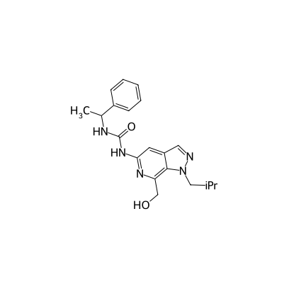 CC(C)Cn1ncc2cc(NC(=O)NC(C)c3ccccc3)nc(CO)c21